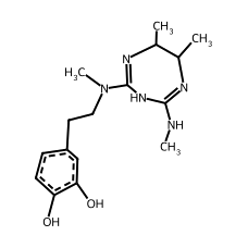 CNC1=NC(C)C(C)N=C(N(C)CCc2ccc(O)c(O)c2)N1